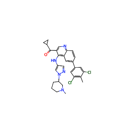 Cc1c(Cl)cc(-c2ccc3ncc(C(=O)C4CC4)c(Nc4cnn(C5CCCN(C)C5)c4)c3c2)cc1Cl